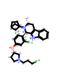 C[C@@H]1Cc2c([nH]c3ccccc23)[C@@H](c2c(F)cc(O[C@H]3CCN(CCCF)C3)cc2F)N1C12CCC(C1)C2